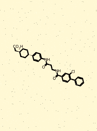 O=C(O)C[C@H]1CC[C@H](c2ccc(NC(=O)CCNC(=O)c3ccc(-c4ccccc4)c(Cl)c3)cc2)CC1